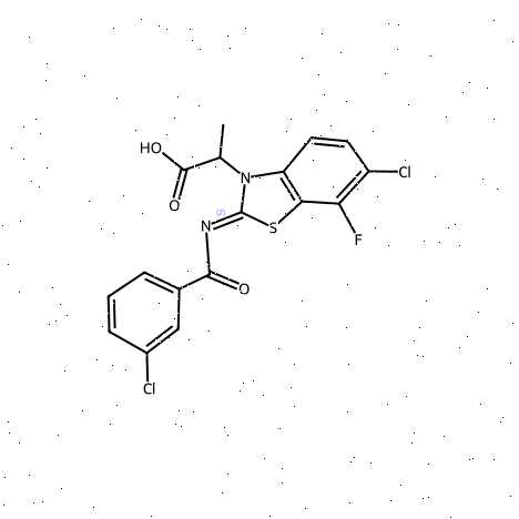 CC(C(=O)O)n1/c(=N/C(=O)c2cccc(Cl)c2)sc2c(F)c(Cl)ccc21